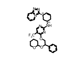 FC(F)(F)c1cnc(N[C@@H]2CC=C[C@H](c3nnc4ccccn34)C2)nc1OCC(OC1CCCCO1)c1ccccc1